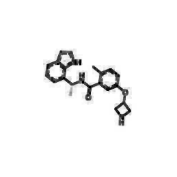 Cc1ccc(OC2CNC2)cc1C(=O)N[C@H](C)c1cccc2cc[nH]c12